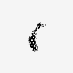 C[C@]12CC[C@H](NC(=O)NCCN3CC[C@H](O)C3)C[C@H]1CC[C@@H]1[C@@H]2CC[C@]2(C)[C@@H](C3=CC(=O)OC3)CC[C@]12O